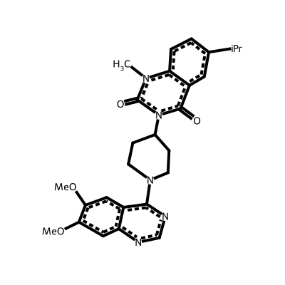 COc1cc2ncnc(N3CCC(n4c(=O)c5cc(C(C)C)ccc5n(C)c4=O)CC3)c2cc1OC